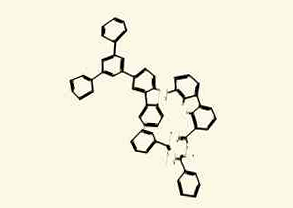 c1ccc(-c2cc(-c3ccccc3)cc(-c3ccc4c(c3)c3ccccc3n4-c3cccc4c3oc3c(-c5nc(-c6ccccc6)nc(-c6ccccc6)n5)cccc34)c2)cc1